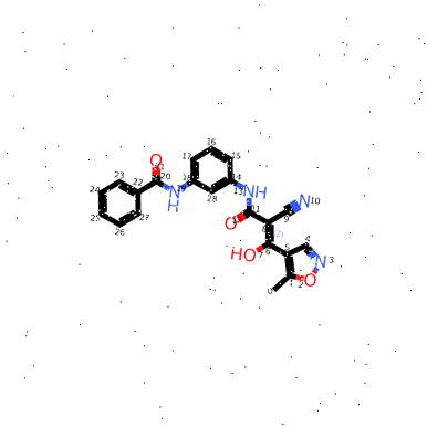 Cc1oncc1/C(O)=C(\C#N)C(=O)Nc1cccc(NC(=O)c2ccccc2)c1